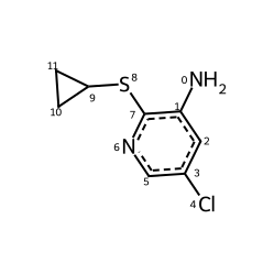 Nc1cc(Cl)cnc1SC1CC1